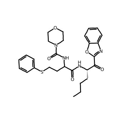 CCCC[C@H](NC(=O)C(CCSc1ccccc1)NC(=O)N1CCOCC1)C(=O)c1nc2ccccc2o1